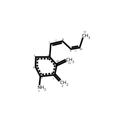 C=c1c(N)ccc(/C=C\C=C/C)c1=C